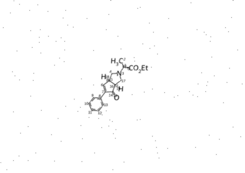 CCOC(=O)[C@H](C)N1C[C@@H]2C=C(c3ccccc3)C(=O)[C@@H]2C1